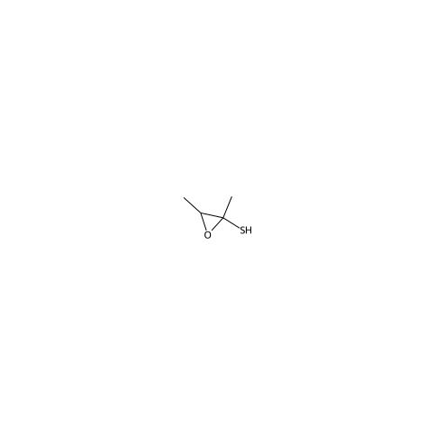 CC1OC1(C)S